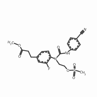 COC(=O)CCc1ccc(N(CCOS(C)(=O)=O)C(=O)Nc2ccc(C#N)cc2)c(F)c1